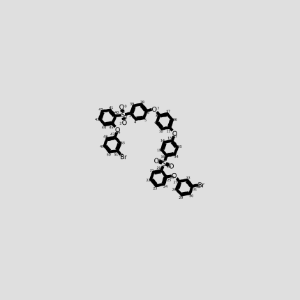 O=S(=O)(c1ccc(Oc2ccc(Oc3ccc(S(=O)(=O)c4ccccc4Oc4cccc(Br)c4)cc3)cc2)cc1)c1ccccc1Oc1cccc(Br)c1